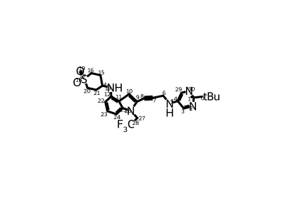 CC(C)(C)c1ncc(NCC#Cc2cc3c(NC4CCS(=O)(=O)CC4)cccc3n2CC(F)(F)F)cn1